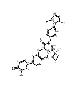 Cc1cnn(C)c1-c1ccc(NC(=O)[C@H](Cc2cc(-c3ccc(=O)n(C(C)C)c3)ccc2Cl)NC(=O)C2(F)CCC2)cc1